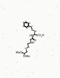 COC(CSCCNCC(=O)NC(CSCc1ccccc1)C(=O)O)OC